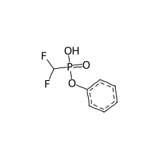 O=P(O)(Oc1ccccc1)C(F)F